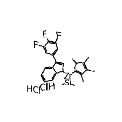 CC1=C(C)C(C)[C]([Zr]([CH]2C=C(c3cc(F)c(F)c(F)c3)c3ccccc32)=[Si](C)C)=C1C.Cl.Cl